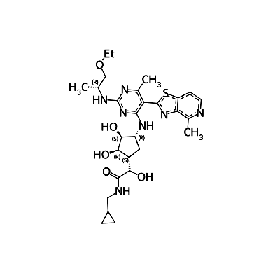 CCOC[C@@H](C)Nc1nc(C)c(-c2nc3c(C)nccc3s2)c(N[C@@H]2C[C@H](C(O)C(=O)NCC3CC3)[C@@H](O)[C@H]2O)n1